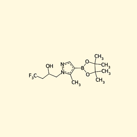 Cc1c(B2OC(C)(C)C(C)(C)O2)cnn1CC(O)CC(F)(F)F